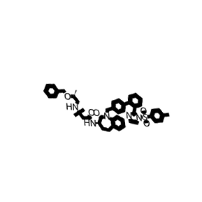 Cc1ccc(S(=O)(=O)n2ccnc2-c2ccccc2-c2ccc(CN3C(=O)[C@H](NC(=O)CC(C)(C)NC[C@@H](C)OCc4ccccc4)CCc4ccccc43)cc2)cc1